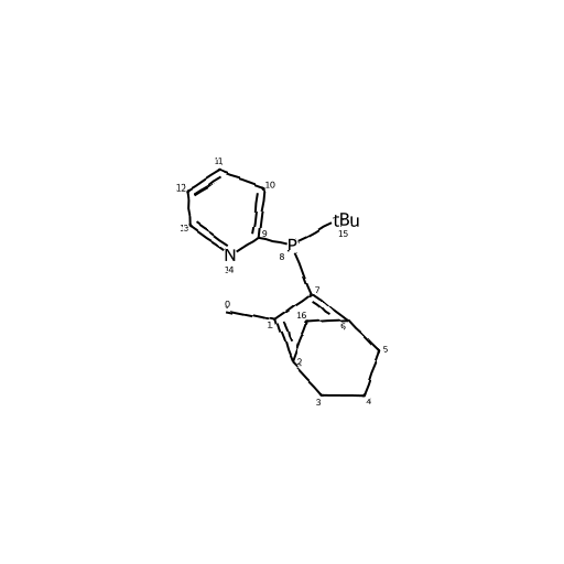 CC1=C2CCCC(=C1P(c1ccccn1)C(C)(C)C)C2